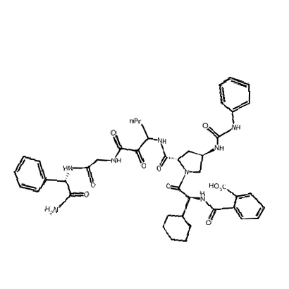 CCCC(NC(=O)[C@@H]1C[C@@H](NC(=O)Nc2ccccc2)CN1C(=O)[C@@H](NC(=O)c1ccccc1C(=O)O)C1CCCCC1)C(=O)C(=O)NCC(=O)N[C@H](C(N)=O)c1ccccc1